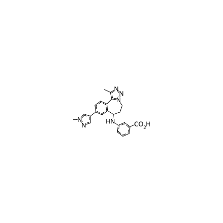 Cc1nnn2c1-c1ccc(-c3cnn(C)c3)cc1C(Nc1cccc(C(=O)O)c1)CC2